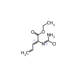 C=C/C=C(\N=C(/N)Cl)C(=O)OCC